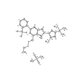 COCCOc1cc(-c2ccccc2C(F)(F)F)nc2nc(-c3cc(C(C)(C)C)nn3C)[nH]c12.CS(=O)(=O)O